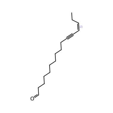 CC/C=C\C#CCCCCCCCCCC=O